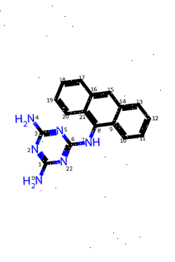 Nc1nc(N)nc(Nc2c3ccccc3cc3ccccc23)n1